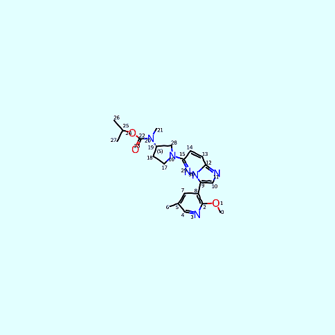 COc1ncc(C)cc1-c1cnc2ccc(N3CC[C@H](N(C)C(=O)OC(C)C)C3)nn12